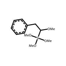 COC(Cc1ccccc1)[Si](OC)(OC)OC